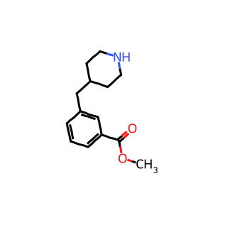 COC(=O)c1cccc(CC2CCNCC2)c1